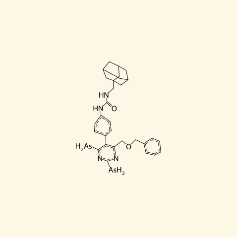 O=C(NCC12CC3CC(CC(C3)C1)C2)Nc1ccc(-c2c([AsH2])nc([AsH2])nc2COCc2ccccc2)cc1